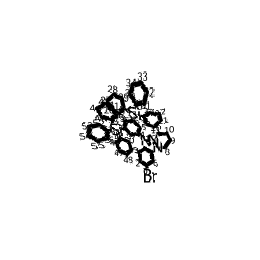 Brc1ccc2c(c1)N1C=CC=CN1N2c1cc([Si](c2ccccc2)(c2ccccc2)c2ccccc2)cc([Si](c2ccccc2)(c2ccccc2)c2ccccc2)c1